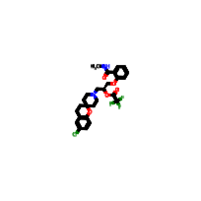 CNC(=O)c1ccccc1OC[C@H](CN1CCC2(CCc3cc(Cl)ccc3O2)CC1)OC(=O)C(F)(F)F